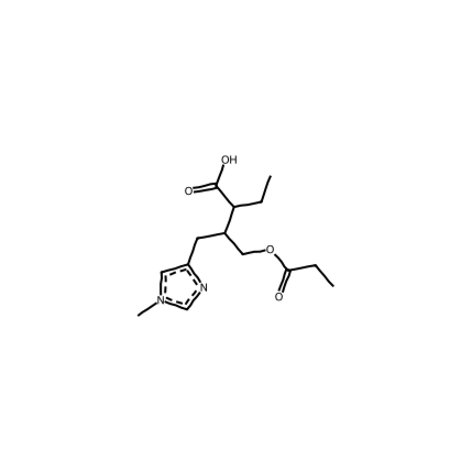 CCC(=O)OCC(Cc1cn(C)cn1)C(CC)C(=O)O